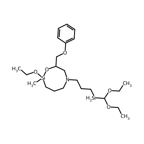 CCOC(OCC)[SiH2]CCCN1CCC[Si](C)(OCC)OC(COc2ccccc2)C1